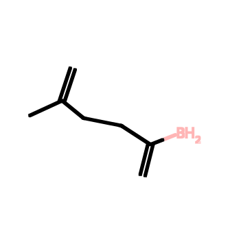 BC(=C)CCC(=C)C